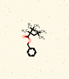 CC(C)(C)CC(C)(C(=O)OCc1ccccc1)C(C)(C)C